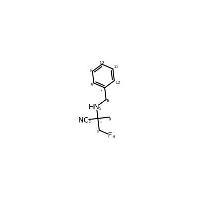 CC(C#N)(CF)NCc1ccccc1